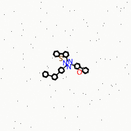 c1ccc(-c2cccc(-c3ccc(-c4nc(-c5ccc6c(c5)oc5ccccc56)nc(-c5cccc6c5sc5ccccc56)n4)cc3)c2)cc1